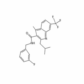 Cc1c(C(=O)NCc2cccc(F)c2)c(CC(C)C)nc2cc(C(F)(F)F)ccc12